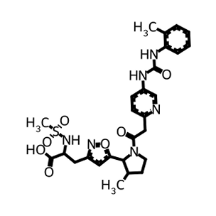 Cc1ccccc1NC(=O)Nc1ccc(CC(=O)N2CCC(C)C2c2cc(CC(NS(C)(=O)=O)C(=O)O)no2)nc1